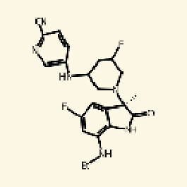 CCNc1cc(F)cc2c1NC(=O)[C@]2(C)N1CC(F)CC(Nc2ccc(C#N)nc2)C1